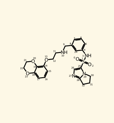 O=S(=O)(Nc1cccc(CNCCOc2cccc3c2OCCO3)c1)c1cnc2n1CCC2